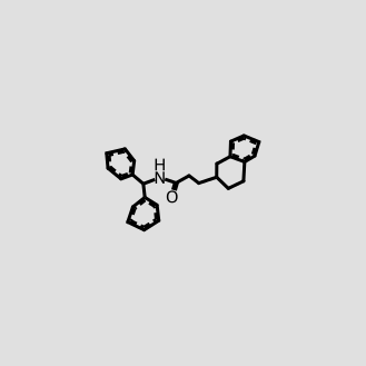 O=C(CCC1CCc2ccccc2C1)NC(c1ccccc1)c1ccccc1